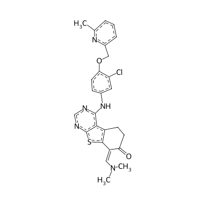 Cc1cccc(COc2ccc(Nc3ncnc4sc5c(c34)CCC(=O)C5=CN(C)C)cc2Cl)n1